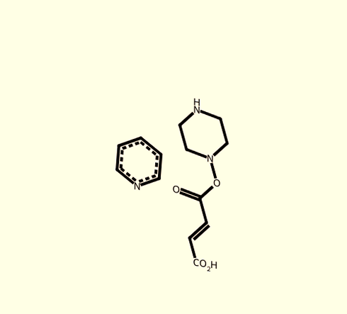 O=C(O)/C=C/C(=O)ON1CCNCC1.c1ccncc1